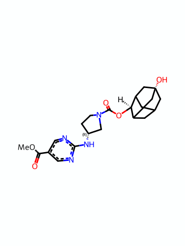 COC(=O)c1cnc(N[C@@H]2CCN(C(=O)O[C@H]3C4CC5CC3C[C@](O)(C5)C4)C2)nc1